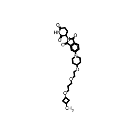 C[C@H]1C[C@H](OCCCOCCOC2CCN(c3ccc4c(c3)C(=O)N(C3CCC(=O)NC3=O)C4=O)CC2)C1